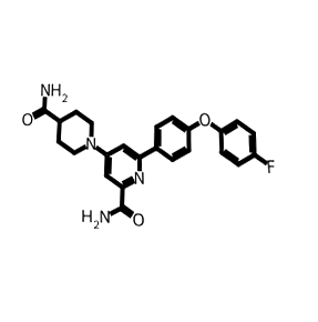 NC(=O)c1cc(N2CCC(C(N)=O)CC2)cc(-c2ccc(Oc3ccc(F)cc3)cc2)n1